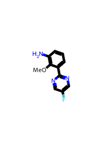 COc1c(N)cccc1-c1ncc(F)cn1